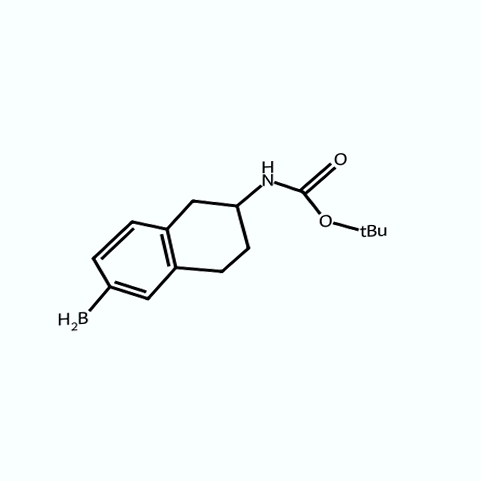 Bc1ccc2c(c1)CCC(NC(=O)OC(C)(C)C)C2